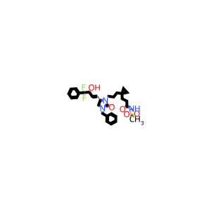 CS(=O)(=O)NC(=O)CCC1(CCCN2C(=O)N(Cc3ccccc3)C[C@@H]2/C=C/C(O)C(F)(F)c2ccccc2)CC1